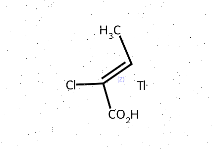 C/C=C(\Cl)C(=O)O.[Tl]